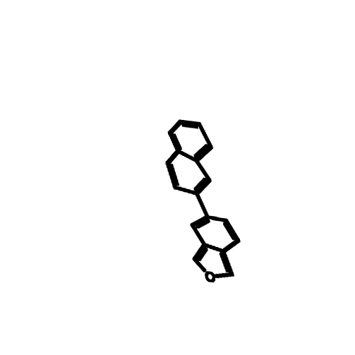 c1ccc2cc(-c3ccc4cocc4c3)ccc2c1